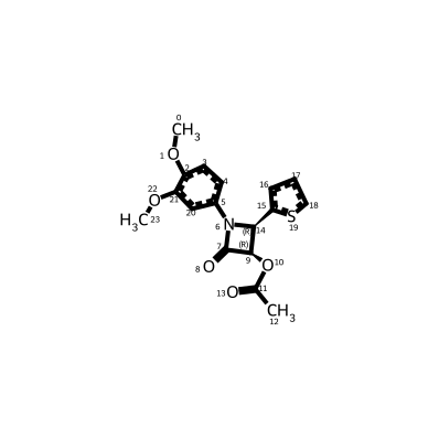 COc1ccc(N2C(=O)[C@H](OC(C)=O)[C@@H]2c2cccs2)cc1OC